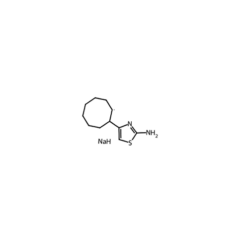 Nc1nc(C2[CH]CCCCCC2)cs1.[NaH]